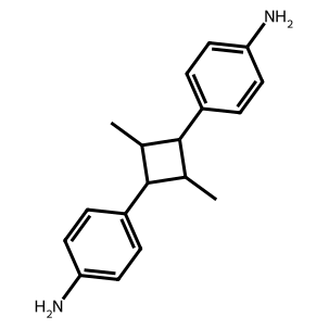 CC1C(c2ccc(N)cc2)C(C)C1c1ccc(N)cc1